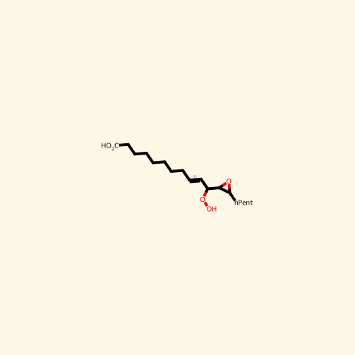 CCCCCC1OC1C(/C=C/CCCCCCCC(=O)O)OO